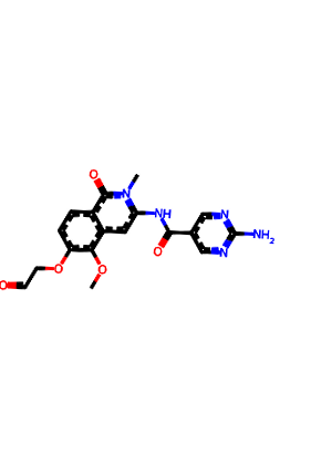 COc1c(OCC=O)ccc2c(=O)n(C)c(NC(=O)c3cnc(N)nc3)cc12